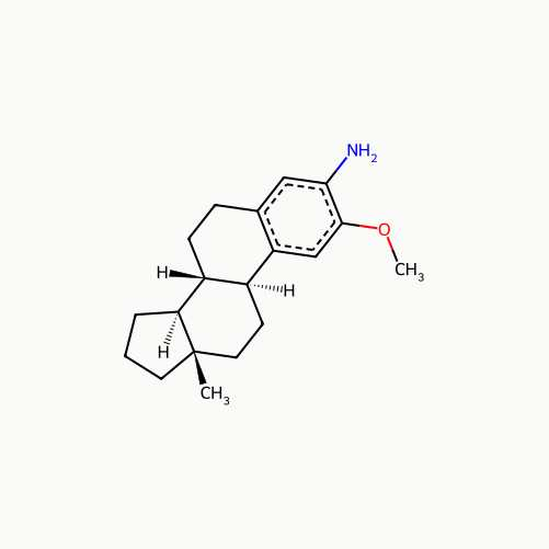 COc1cc2c(cc1N)CC[C@@H]1[C@@H]2CC[C@]2(C)CCC[C@@H]12